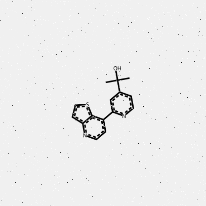 CC(C)(O)c1ccnc(-c2ccnc3ccsc23)c1